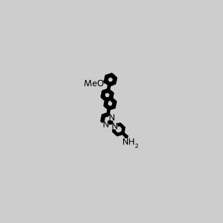 COc1ccccc1-c1ccc2cc(-c3ccnc(N4CCC(CN)CC4)n3)ccc2c1